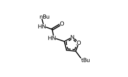 CCCCNC(=O)Nc1cc(C(C)(C)C)on1